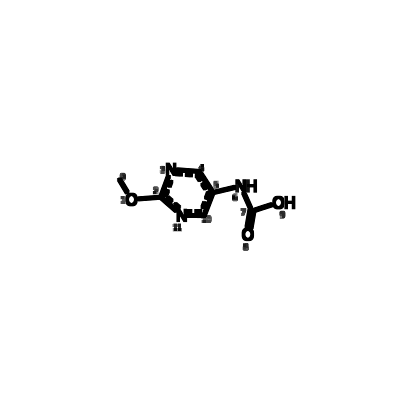 COc1ncc(NC(=O)O)cn1